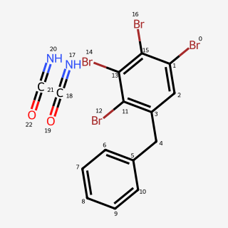 Brc1cc(Cc2ccccc2)c(Br)c(Br)c1Br.N=C=O.N=C=O